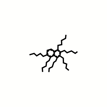 CCCCCc1ccc2c(CCCCC)c(CCCCC)c(CCCCC)c(CCCCC)c2c1CCCCC